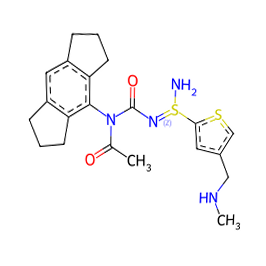 CNCc1csc(/S(N)=N/C(=O)N(C(C)=O)c2c3c(cc4c2CCC4)CCC3)c1